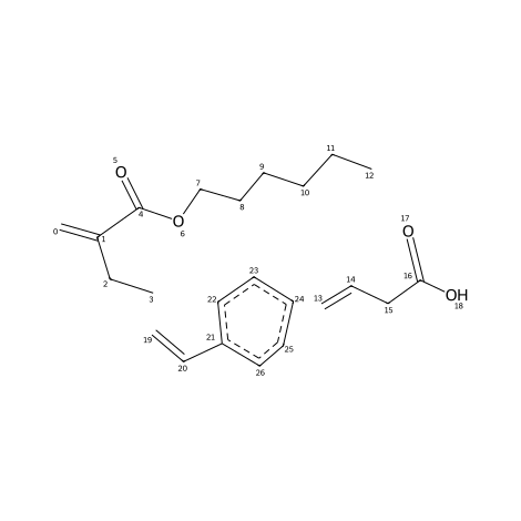 C=C(CC)C(=O)OCCCCCC.C=CCC(=O)O.C=Cc1ccccc1